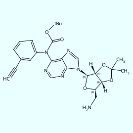 C#Cc1cccc(N(C(=O)OC(C)(C)C)c2ncnc3c2ncn3[C@@H]2O[C@H](CN)[C@H]3OC(C)(C)O[C@H]32)c1